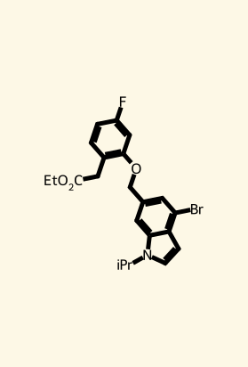 CCOC(=O)Cc1ccc(F)cc1OCc1cc(Br)c2ccn(C(C)C)c2c1